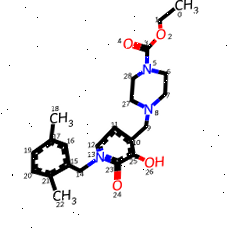 CCOC(=O)N1CCN(Cc2ccn(Cc3cc(C)ccc3C)c(=O)c2O)CC1